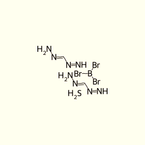 BrB(Br)Br.N=NC=NN.N=NC=NN.S